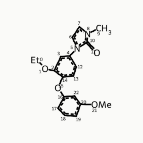 CCOc1cc(-n2ccn(C)c2=O)ccc1Oc1cccc(OC)c1